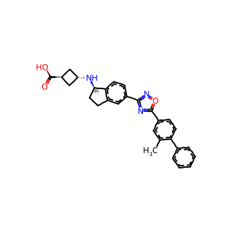 Cc1cc(-c2nc(-c3ccc4c(c3)CC[C@H]4N[C@H]3C[C@H](C(=O)O)C3)no2)ccc1-c1ccccc1